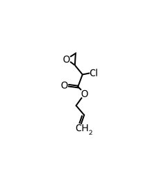 C=CCOC(=O)C(Cl)C1CO1